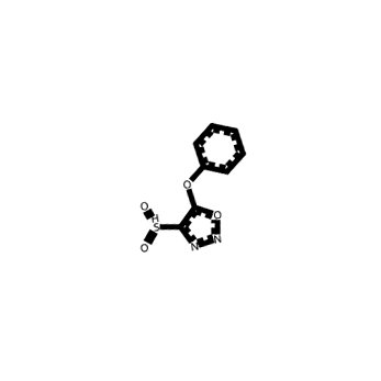 O=[SH](=O)c1nnoc1Oc1ccccc1